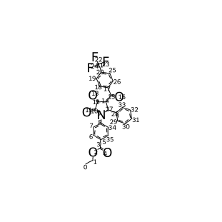 CCOC(=O)c1ccc(N2C(=O)C(=O)C(C(=O)c3ccc(C(F)(F)F)cc3)C2c2ccccc2)cc1